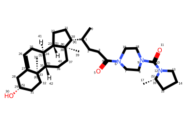 CC(CCC(=O)N1CCN(C(=O)N2CCC[C@@H]2C)CC1)[C@H]1CC[C@H]2[C@@H]3CC=C4C[C@@H](O)CC[C@]4(C)[C@H]3CC[C@]12C